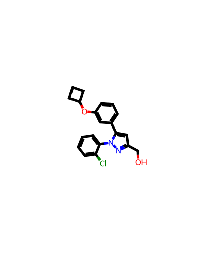 OCc1cc(-c2cccc(OC3CCC3)c2)n(-c2ccccc2Cl)n1